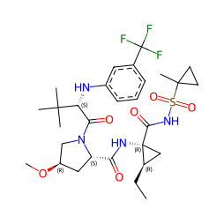 CC[C@@H]1C[C@]1(NC(=O)[C@@H]1C[C@@H](OC)CN1C(=O)[C@@H](Nc1cccc(C(F)(F)F)c1)C(C)(C)C)C(=O)NS(=O)(=O)C1(C)CC1